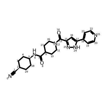 N#C[C@H]1CC[C@@H](NC(=O)C2CCN(C(=O)c3cc(-c4ccncc4)[nH]n3)CC2)CC1